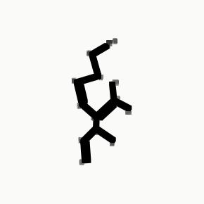 C=CC(C)C(/C=C\CCF)=C(C)C